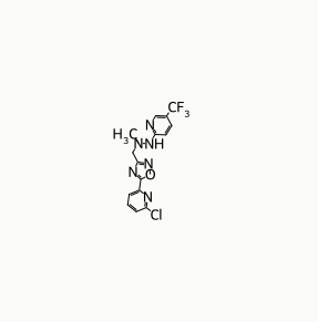 CN(Cc1noc(-c2cccc(Cl)n2)n1)Nc1ccc(C(F)(F)F)cn1